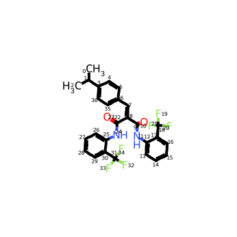 CC(C)c1ccc(C=C(C(=O)Nc2ccccc2C(F)(F)F)C(=O)Nc2ccccc2C(F)(F)F)cc1